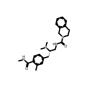 CNC(=O)c1ccc(C[C@@H](CNC(=O)N2CCc3ccccc3C2)N(C)C)cc1C